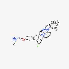 CC(Cc1ccc(OCCCn2cccn2)cc1)c1ccc(F)cc1-c1cccc(-n2ncc(C(=O)O)c2C(F)(F)F)n1